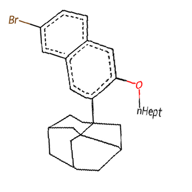 CCCCCCCOc1cc2ccc(Br)cc2cc1C12CC3CC(CC(C3)C1)C2